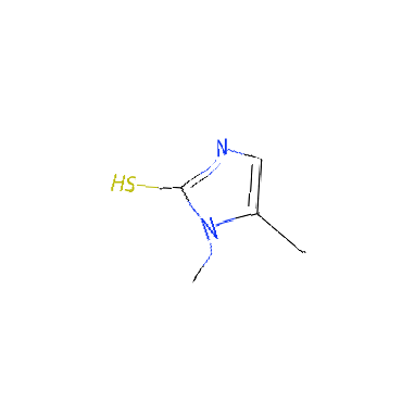 Cc1cnc(S)n1C